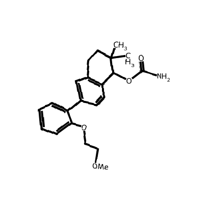 COCCOc1ccccc1-c1ccc2c(c1)CCC(C)(C)C2OC(N)=O